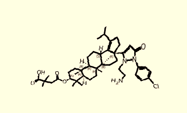 CC(C)C1=C2[C@H]3CC[C@@H]4[C@@]5(C)CC[C@H](OC(=O)CC(C)(C)C(=O)O)C(C)(C)[C@@H]5CC[C@@]4(C)[C@]3(C)CC[C@@]2(c2cc(=O)n(-c3ccc(Cl)cc3)n2CCN)CC1